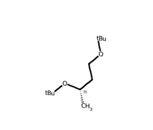 C[C@@H](CCOC(C)(C)C)OC(C)(C)C